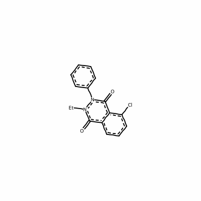 CCn1c(=O)c2cccc(Cl)c2c(=O)n1-c1ccccc1